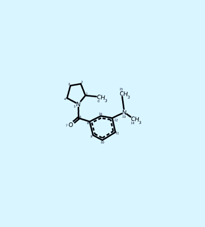 CC1CCCN1C(=O)c1cccc(N(C)C)c1